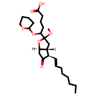 CCCCCC/C=C/[C@H]1C(=O)C[C@H]2OC(OC)(C(CCCC(=O)O)OC3CCCCO3)C[C@@H]21